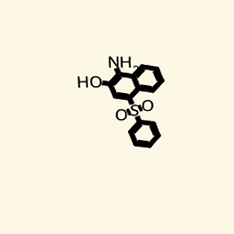 Nc1c(O)cc(S(=O)(=O)c2ccccc2)c2ccccc12